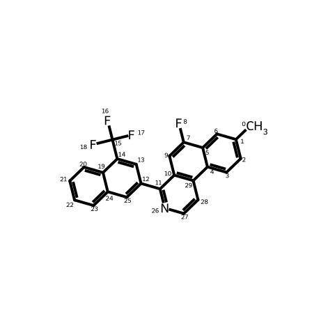 Cc1ccc2c(c1)c(F)cc1c(-c3cc(C(F)(F)F)c4ccccc4c3)nccc12